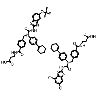 O=C(O)CCNC(=O)c1ccc(CN(C(=O)Nc2nc3cc(Cl)cc(Cl)c3s2)c2ccc(C3=CCCCC3)cc2)cc1.O=C(O)CCNC(=O)c1ccc(CN(C(=O)Nc2nc3cc(OC(F)(F)F)ccc3s2)c2ccc(C3=CCCCC3)cc2)cc1